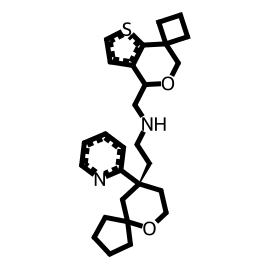 c1ccc([C@]2(CCNCC3OCC4(CCC4)c4sccc43)CCOC3(CCCC3)C2)nc1